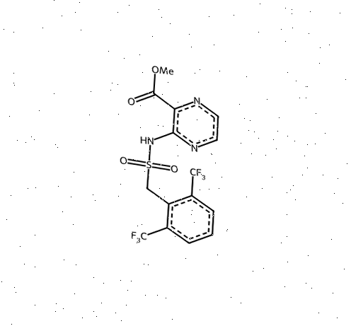 COC(=O)c1nccnc1NS(=O)(=O)Cc1c(C(F)(F)F)cccc1C(F)(F)F